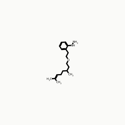 CC(C)=CCCC(C)CCOCCc1ccccc1NN